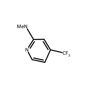 CNc1cc(C(F)(F)F)ccn1